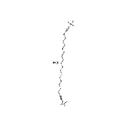 C[Si](C)(C)C#CCCCCCCCCC(O)CCCCCCCCC#C[Si](C)(C)C